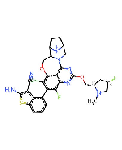 CN1C[C@H](F)C[C@H]1COc1nc2c3c(c(Cl)c(-c4cccc5sc(N)c(C#N)c45)c(F)c3n1)OCC1C3CCC(CN21)N3